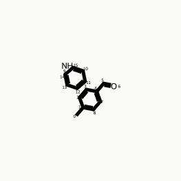 Cc1ccc(C=O)cc1.N.c1ccccc1